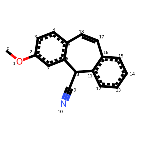 COc1ccc2c(c1)C(C#N)c1ccccc1C=C2